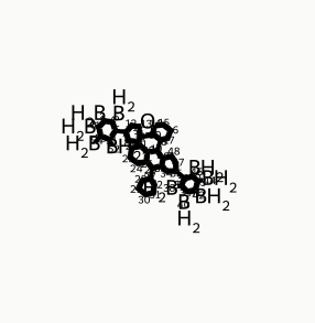 Bc1c(B)c(B)c(-c2ccc3c(c2)oc2cccc(-c4c5ccccc5c(-c5ccccc5)c5cc(-c6c(B)c(B)c(B)c(B)c6B)ccc45)c23)c(B)c1B